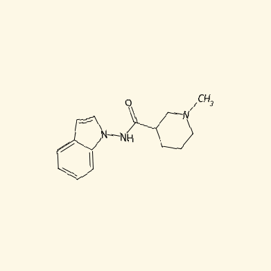 CN1CCCC(C(=O)Nn2ccc3ccccc32)C1